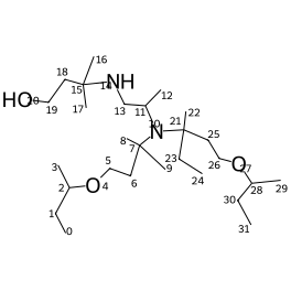 CCC(C)OCCC(C)(C)N(C(C)CNC(C)(C)CCO)C(C)(CC)CCOC(C)CC